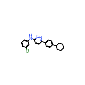 Clc1cccc(Nc2ccc(-c3ccc(C4CCCCC4)cc3)nn2)c1